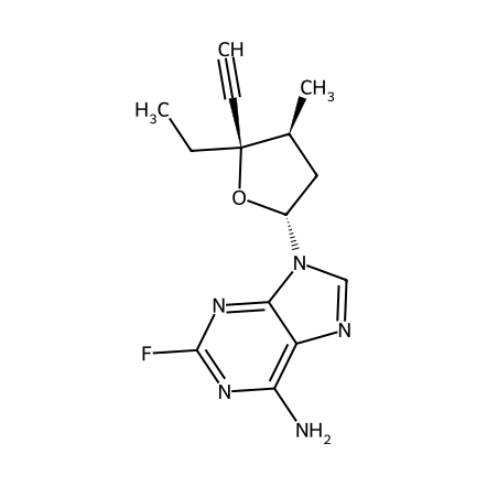 C#C[C@]1(CC)O[C@@H](n2cnc3c(N)nc(F)nc32)C[C@@H]1C